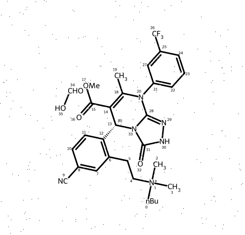 CCCC[N+](C)(C)CCc1cc(C#N)ccc1[C@@H]1C(C(=O)OC)=C(C)N(c2cccc(C(F)(F)F)c2)c2n[nH]c(=O)n21.O=CO